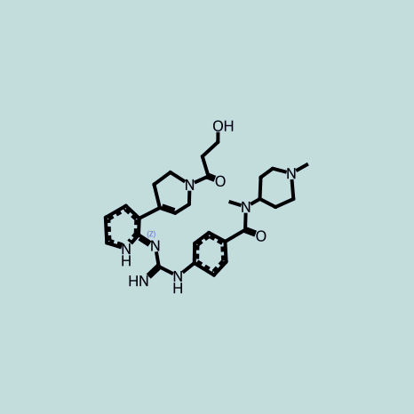 CN1CCC(N(C)C(=O)c2ccc(NC(=N)/N=c3\[nH]cccc3C3=CCN(C(=O)CCO)CC3)cc2)CC1